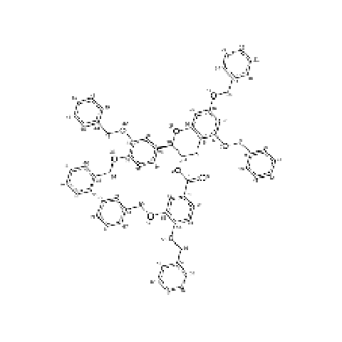 O=C(O[C@H]1Cc2c(OCc3ccccc3)cc(OCc3ccccc3)cc2O[C@@H]1c1ccc(OCc2ccccc2)c(OCc2ccccc2)c1)c1ccc(OCc2ccccc2)c(OCc2ccccc2)c1